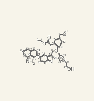 CCOC(=O)Cc1cc(COC)ccc1OCc1c2cc(-c3ccc4ccnc(N)c4c3)ccc2nn1[C@H]1CCN(CCO)C1